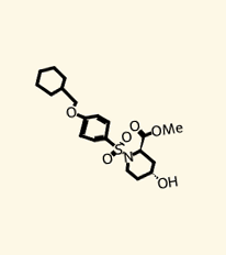 COC(=O)[C@H]1C[C@H](O)CCN1S(=O)(=O)c1ccc(OCC2CCCCC2)cc1